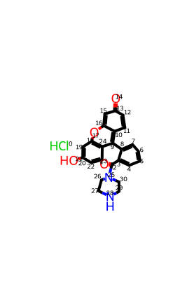 Cl.O=C(c1ccccc1-c1c2ccc(=O)cc-2oc2cc(O)ccc12)N1CCNCC1